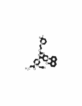 C=CC(=O)N1CCN(c2nc(OCCN3CCCC(F)(F)C3)nc3c2CCN(c2cccc4cccc(Cl)c24)C3)C[C@@H]1CC#N